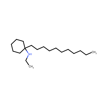 CCCCCCCCCCCC1(NCC)CCCCC1